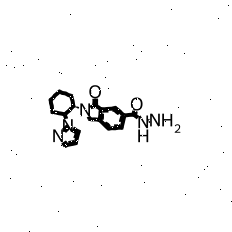 NNC(=O)c1ccc2c(c1)C(=O)N([C@H]1CCCCC1n1cccn1)C2